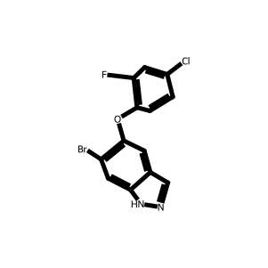 Fc1cc(Cl)ccc1Oc1cc2cn[nH]c2cc1Br